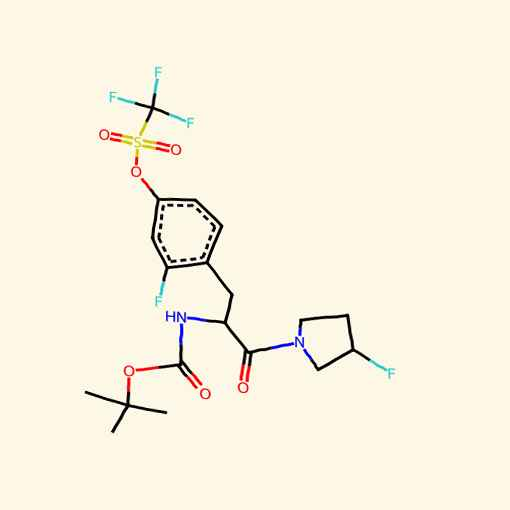 CC(C)(C)OC(=O)NC(Cc1ccc(OS(=O)(=O)C(F)(F)F)cc1F)C(=O)N1CCC(F)C1